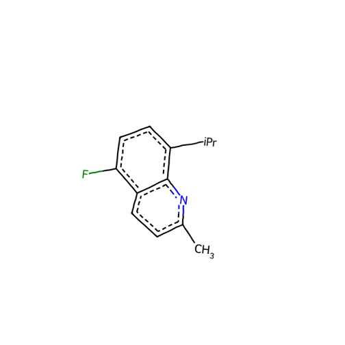 Cc1ccc2c(F)ccc(C(C)C)c2n1